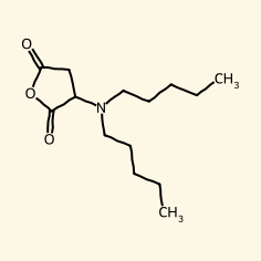 CCCCCN(CCCCC)C1CC(=O)OC1=O